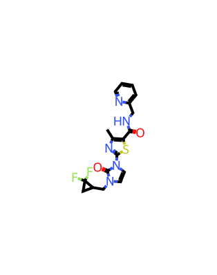 Cc1nc(-n2ccn(CC3CC3(F)F)c2=O)sc1C(=O)NCc1ccccn1